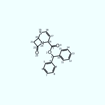 O=C(OC(c1ccccc1)c1ccccc1)C1C=CSC2CC(=O)N21